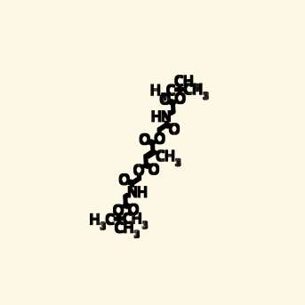 C/C(=C\C(=O)OCC(=O)NCC(=O)OC(C)(C)C)C(=O)OCC(=O)NCC(=O)OC(C)(C)C